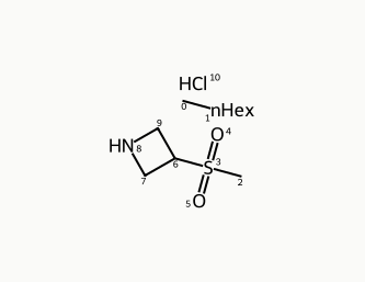 CCCCCCC.CS(=O)(=O)C1CNC1.Cl